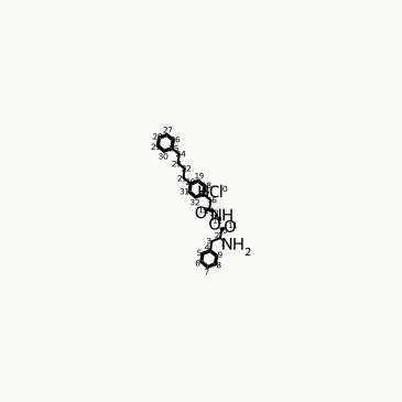 Cl.N[C@@H](Cc1ccccc1)C(=O)ONC(=O)Cc1ccc(CCCCc2ccccc2)cc1